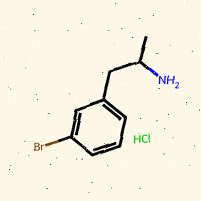 CC(N)Cc1cccc(Br)c1.Cl